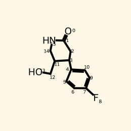 O=C1CC(c2ccc(F)cc2)C(CO)CN1